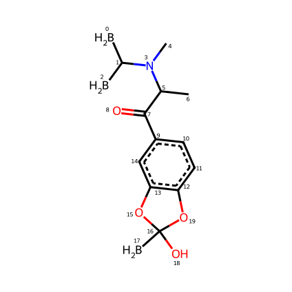 BC(B)N(C)C(C)C(=O)c1ccc2c(c1)OC(B)(O)O2